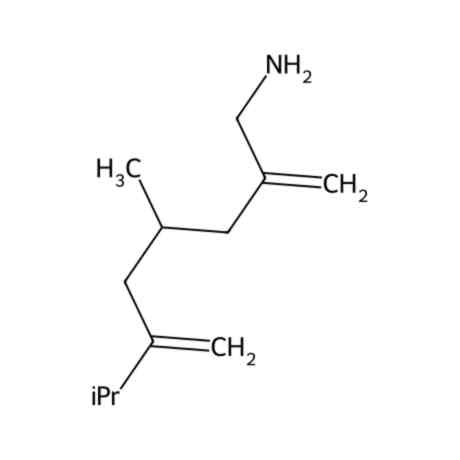 C=C(CN)CC(C)CC(=C)C(C)C